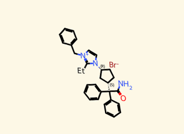 CCc1n([C@@H]2CC[C@H](C(C(N)=O)(c3ccccc3)c3ccccc3)C2)cc[n+]1Cc1ccccc1.[Br-]